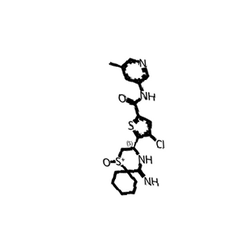 Cc1cncc(NC(=O)c2cc(Cl)c([C@@H]3C[S+]([O-])C4(CCCCC4)C(=N)N3)s2)c1